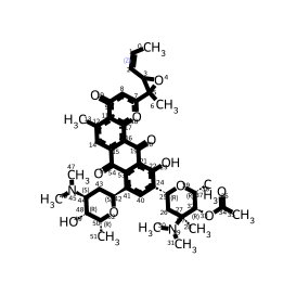 C/C=C\C1OC1(C)c1cc(=O)c2c(C)cc3c(c2o1)C(=O)c1c(O)c([C@H]2C[C@](C)(N(C)C)[C@@H](OC(C)=O)[C@@H](C)O2)cc([C@@H]2C[C@H](N(C)C)[C@@H](O)[C@@H](C)O2)c1C3=O